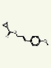 COc1ccc(C=CCOC(=O)C2CC2)cc1